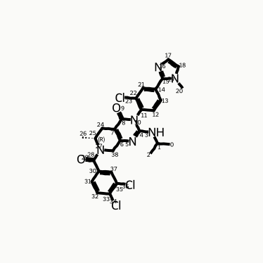 CC(C)Nc1nc2c(c(=O)n1-c1ccc(-c3nccn3C)cc1Cl)C[C@@H](C)N(C(=O)c1ccc(Cl)c(Cl)c1)C2